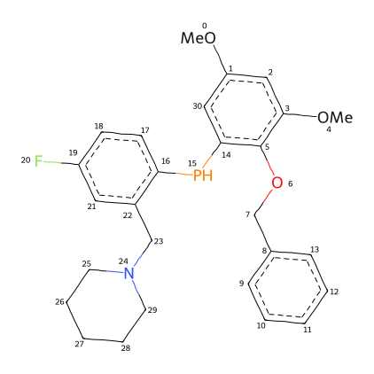 COc1cc(OC)c(OCc2ccccc2)c(Pc2ccc(F)cc2CN2CCCCC2)c1